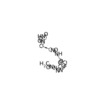 C=CC(=O)N1CCN(c2ncnc3c(F)c(-c4c(F)cccc4OCCCCNCC(=O)N4CCC(C#Cc5cccc6c5CN(C5CCC(=O)NC5=O)C6=O)CC4)c(Cl)cc23)CC1